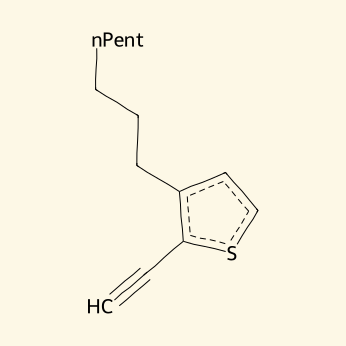 C#Cc1sccc1CCCCCCCC